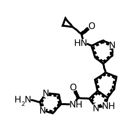 Nc1ncc(NC(=O)c2n[nH]c3ccc(-c4cncc(NC(=O)C5CC5)c4)cc23)cn1